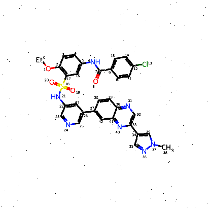 CCOc1ccc(NC(=O)c2ccc(Cl)cc2)cc1S(=O)(=O)Nc1cncc(-c2ccc3ncc(-c4cnn(C)c4)nc3c2)c1